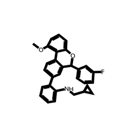 COc1cccc2c1-c1ccc(-c3ccccc3NCC3CC3)cc1C(c1cccc(F)c1)O2